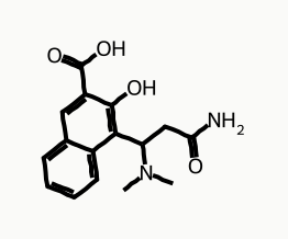 CN(C)C(CC(N)=O)c1c(O)c(C(=O)O)cc2ccccc12